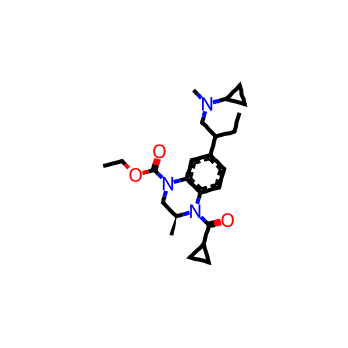 CCOC(=O)N1C[C@H](C)N(C(=O)C2CC2)c2ccc(C(CC)CN(C)C3CC3)cc21